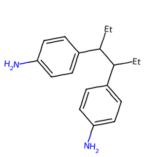 CCC(c1ccc(N)cc1)C(CC)c1ccc(N)cc1